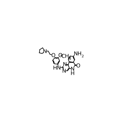 COc1cc(Nc2ncc3[nH]c(=O)c4cc(N)ccc4c3n2)ccc1OCCN1CCCC1